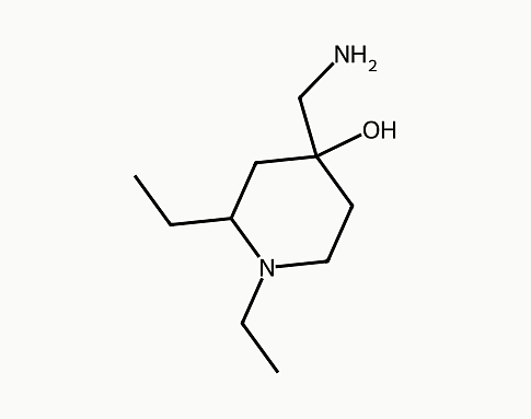 CCC1CC(O)(CN)CCN1CC